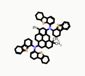 CC(C)C1CC(N(C2=CC=CC3C2SC2CCCCC23)C2CCCc3c2sc2ccccc32)=C2CC3C4=C(CCC3(C)C)CC(N(C3=CCCc5c3sc3c5CCC=C3)C3=CCCC5C6=C(CCCC6)SC35)C3CCC1=C2C43